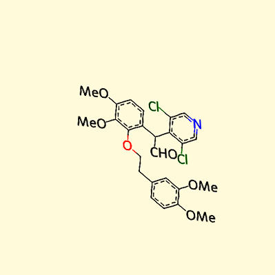 COc1ccc(CCOc2c(C(C=O)c3c(Cl)cncc3Cl)ccc(OC)c2OC)cc1OC